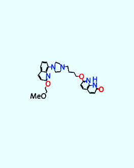 COCCOc1ccc2cccc(N3CCN(CCCCOc4ccc5ccc(=O)[nH]c5n4)CC3)c2n1